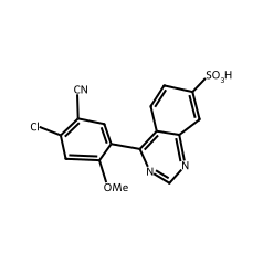 COc1cc(Cl)c(C#N)cc1-c1ncnc2cc(S(=O)(=O)O)ccc12